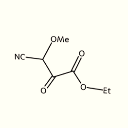 CCOC(=O)C(=O)C(C#N)OC